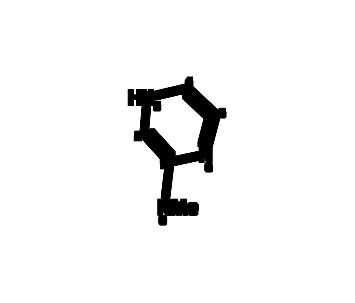 CNC1=CNC=C=N1